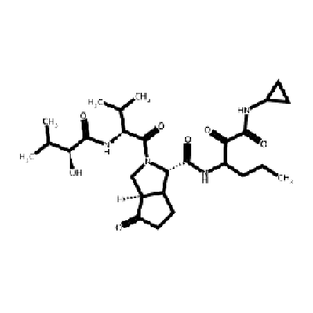 CCCC(NC(=O)[C@@H]1C2CCC(=O)[C@H]2CN1C(=O)[C@@H](NC(=O)[C@@H](O)C(C)C)C(C)C)C(=O)C(=O)NC1CC1